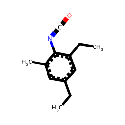 CCc1cc(C)c(N=C=O)c(CC)c1